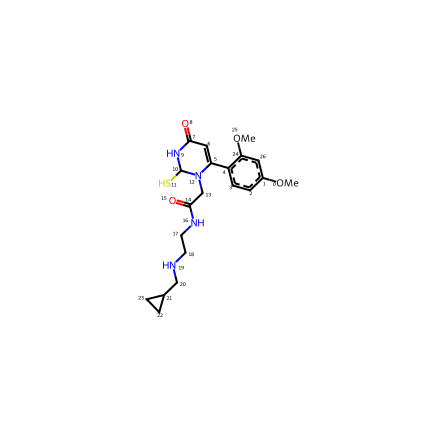 COc1ccc(C2=CC(=O)NC(S)N2CC(=O)NCCNCC2CC2)c(OC)c1